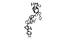 CNC(=O)n1ccc2cc(Oc3ccnc(NC(=O)c4ccc(C5CCN(C(C)C)CC5)nc4)c3)c(OCCOC)cc21